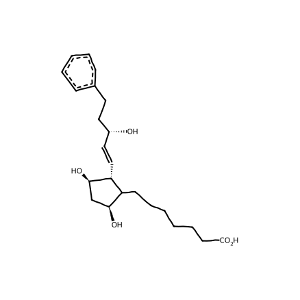 O=C(O)CCCCCCC1[C@@H](/C=C/[C@@H](O)CCc2ccccc2)[C@H](O)C[C@@H]1O